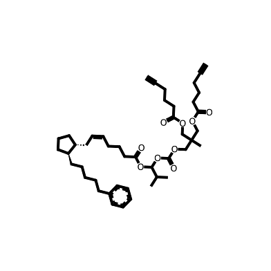 C#CCCCC(=O)OCC(C)(COC(=O)CCCC#C)COC(=O)OC(OC(=O)CCC/C=C\C[C@H]1CCC[C@@H]1CCCCCc1ccccc1)C(C)C